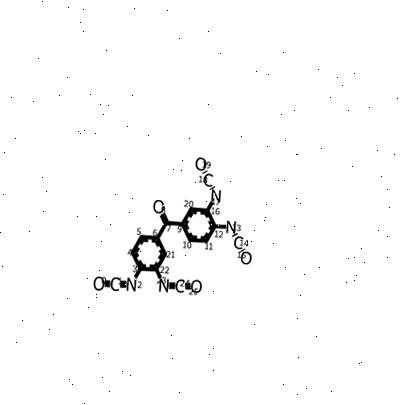 O=C=Nc1ccc(C(=O)c2ccc(N=C=O)c(N=C=O)c2)cc1N=C=O